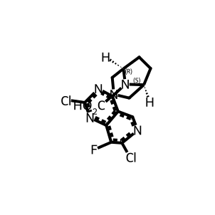 O=C(O)N1C[C@H]2CC[C@@H](C1)N2c1nc(Cl)nc2c(F)c(Cl)ncc12